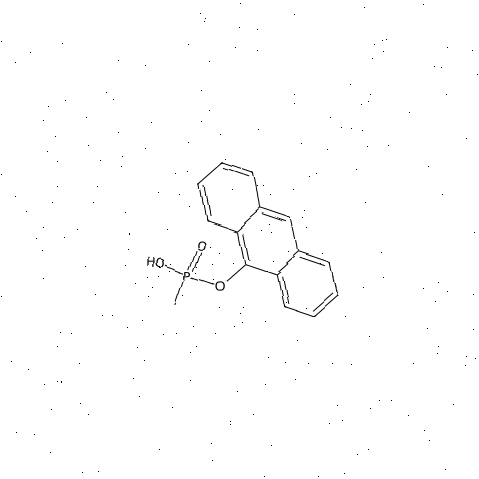 CP(=O)(O)Oc1c2ccccc2cc2ccccc12